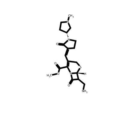 COC(=O)C1=C(/C=C2\CCN([C@@H]3CCN(C)C3)C2=O)CS[C@@H]2C(CN)C(=O)N12